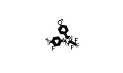 COc1ccc(-c2nc(C(F)(F)F)nn2-c2ccc(SC)c(F)c2)cc1